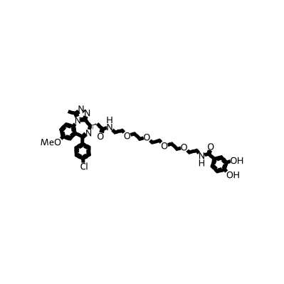 COc1ccc2c(c1)C(c1ccc(Cl)cc1)=N[C@@H](CC(=O)NCCOCCOCCOCCOCCNC(=O)c1ccc(O)c(O)c1)c1nnc(C)n1-2